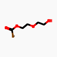 O=C([S])OCCOCCO